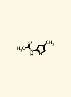 CC(=O)NC1=NC=C(C)C1